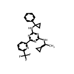 CC(Nc1nc(NC2(c3ccccc3)CC2)nc(-c2cccc(C(F)(F)F)n2)n1)=C1CC1